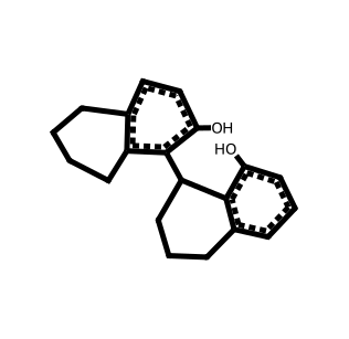 Oc1cccc2c1C(c1c(O)ccc3c1CCCC3)CCC2